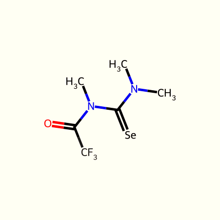 CN(C)C(=[Se])N(C)C(=O)C(F)(F)F